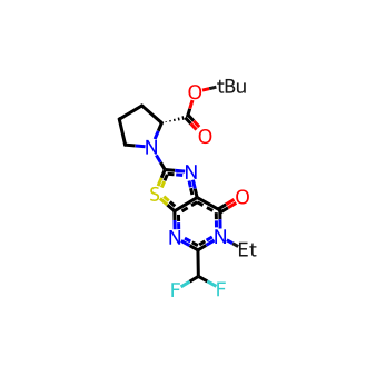 CCn1c(C(F)F)nc2sc(N3CCC[C@@H]3C(=O)OC(C)(C)C)nc2c1=O